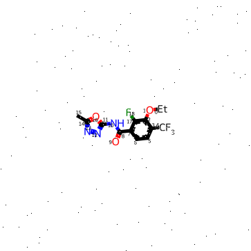 CCOc1c(C(F)(F)F)ccc(C(=O)Nc2nnc(C)o2)c1F